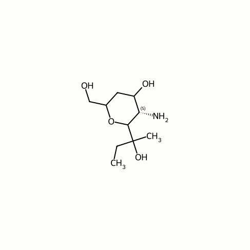 CCC(C)(O)C1OC(CO)CC(O)[C@@H]1N